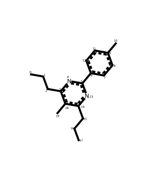 CCCc1nc(-c2ccc(C)cc2)nc(CCC)c1C